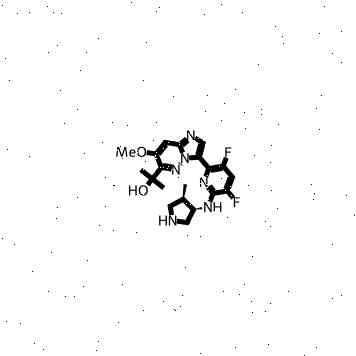 COc1cc2ncc(-c3nc(N[C@@H]4CNC[C@H]4C)c(F)cc3F)n2nc1C(C)(C)O